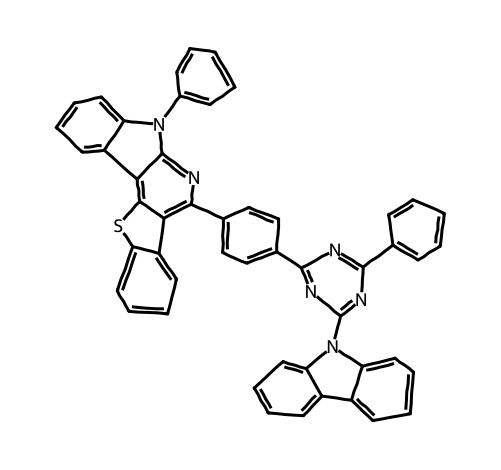 c1ccc(-c2nc(-c3ccc(-c4nc5c(c6ccccc6n5-c5ccccc5)c5sc6ccccc6c45)cc3)nc(-n3c4ccccc4c4ccccc43)n2)cc1